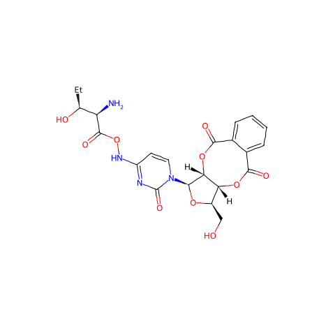 CC[C@H](O)[C@@H](N)C(=O)ONc1ccn([C@@H]2O[C@H](CO)[C@H]3OC(=O)c4ccccc4C(=O)O[C@H]32)c(=O)n1